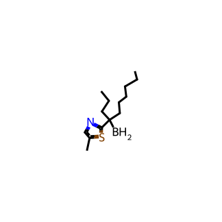 BC(CCC)(CCCCCC)c1ncc(C)s1